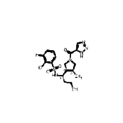 CCC[C@@H](NS(=O)(=O)c1cccc(F)c1Cl)[C@H]1CN(C(=O)c2cnn[nH]2)C[C@H]1C